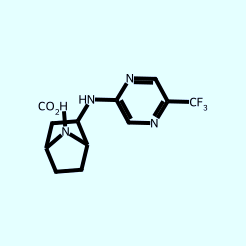 O=C(O)N1C2CCC1C(Nc1cnc(C(F)(F)F)cn1)C2